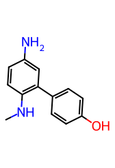 CNc1ccc(N)cc1-c1ccc(O)cc1